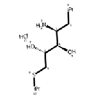 CC(C)C[C@H](N)[C@@H](O)[C@@H](O)CSC(C)C.Cl